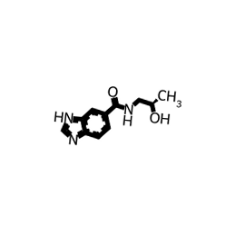 C[C@@H](O)CNC(=O)c1ccc2nc[nH]c2c1